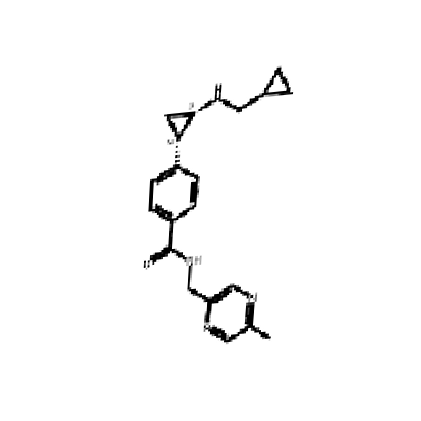 Cc1cnc(CNC(=O)c2ccc([C@@H]3C[C@H]3NCC3CC3)cc2)cn1